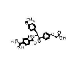 COc1ccc(CC(NC(=O)c2ccc(C(=N)N)cc2)C(=O)c2ccc(OCC(=O)O)cc2)cc1